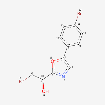 O[C@@H](CBr)c1ncc(-c2ccc(Br)cc2)o1